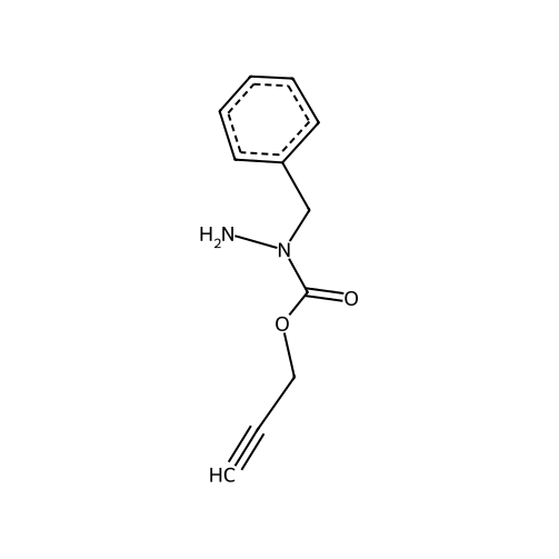 C#CCOC(=O)N(N)Cc1ccccc1